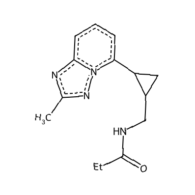 CCC(=O)NCC1CC1c1cccc2nc(C)nn12